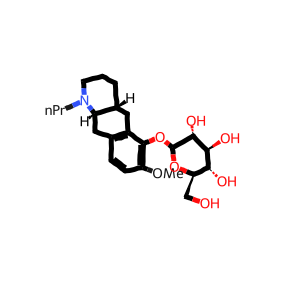 CCCN1CCC[C@@H]2Cc3c(ccc(OC)c3OC3O[C@H](CO)[C@@H](O)[C@H](O)[C@H]3O)C[C@H]21